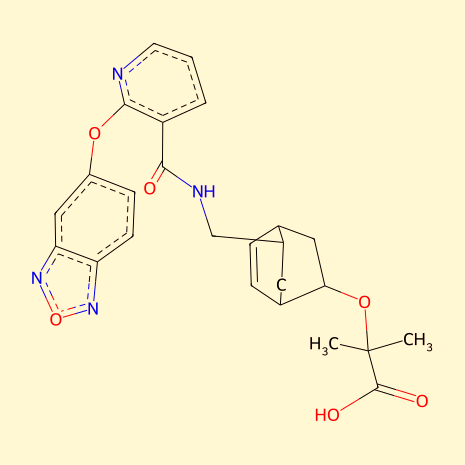 CC(C)(OC1CC2C=CC1CC2CNC(=O)c1cccnc1Oc1ccc2nonc2c1)C(=O)O